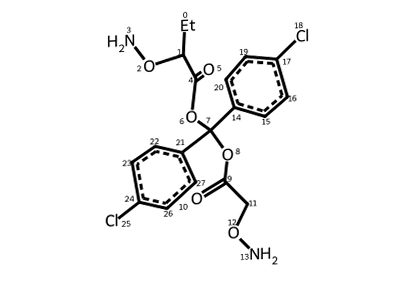 CCC(ON)C(=O)OC(OC(=O)CON)(c1ccc(Cl)cc1)c1ccc(Cl)cc1